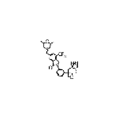 CC1CN(Cc2cc3c(c(C(F)(F)F)c2)CN(c2cccc(C4(Cc5nncn5C)COC4)c2)C3=O)CC(C)O1